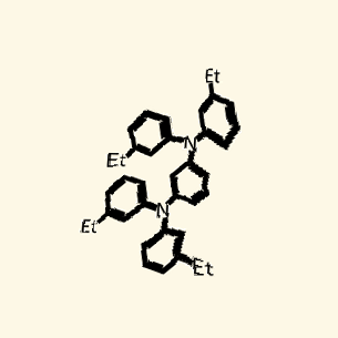 CCc1cccc(N(c2cccc(CC)c2)c2cccc(N(c3cccc(CC)c3)c3cccc(CC)c3)c2)c1